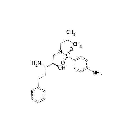 CC(C)CN(C[C@@H](O)[C@@H](N)CCc1ccccc1)S(=O)(=O)c1ccc(N)cc1